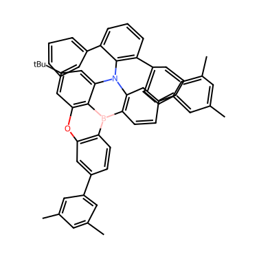 Cc1cc(C)cc(-c2ccc3c(c2)Oc2cc(C(C)(C)C)cc4c2B3c2ccc(-c3cc(C)cc(C)c3)cc2N4c2c(-c3ccccc3)cccc2-c2ccccc2)c1